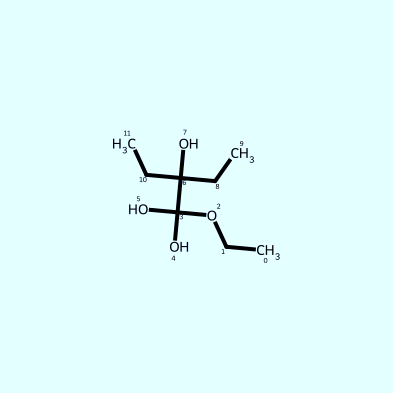 CCOC(O)(O)C(O)(CC)CC